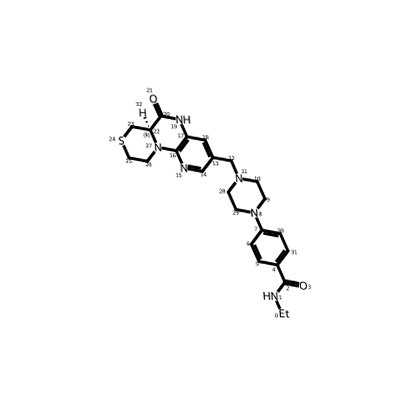 CCNC(=O)c1ccc(N2CCN(Cc3cnc4c(c3)NC(=O)[C@@H]3CSCCN43)CC2)cc1